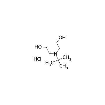 CC(C)(C)N(CCO)CCO.Cl